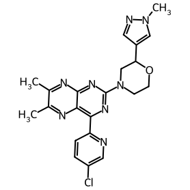 Cc1nc2nc(N3CCOC(c4cnn(C)c4)C3)nc(-c3ccc(Cl)cn3)c2nc1C